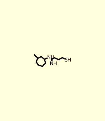 CC1CCCCC(NC(=N)CCCS)C1